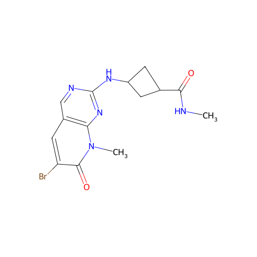 CNC(=O)C1CC(Nc2ncc3cc(Br)c(=O)n(C)c3n2)C1